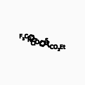 CCOC(=O)Cc1csc2cc(OCc3ccc(C(F)(F)F)nc3Cl)ccc12